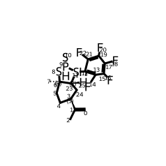 C=C(C)[C@H]1CC[C@@]2(C)S[PH](=S)[SH](c3c(F)c(F)c(F)c(F)c3F)[C@@H]2C1